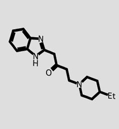 CCC1CCN(CCC(=O)Cc2nc3ccccc3[nH]2)CC1